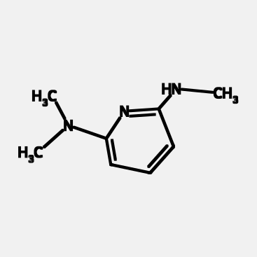 CNc1cccc(N(C)C)n1